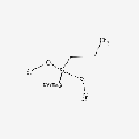 CCO[Si](CCC(F)(F)F)(OC)OCC